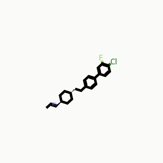 C/C=C/[C@H]1CC[C@H](CCc2ccc(-c3ccc(Cl)c(F)c3)cc2)CC1